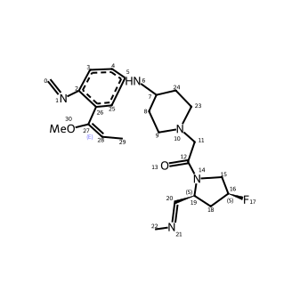 C=Nc1ccc(NC2CCN(CC(=O)N3C[C@@H](F)C[C@H]3C=NC)CC2)cc1/C(=C\C)OC